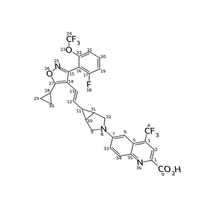 O=C(O)c1cc(C(F)(F)F)c2cc(N3CC4C(C=Cc5c(-c6c(F)cccc6OC(F)(F)F)noc5C5CC5)C4C3)ccc2n1